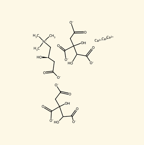 C[N+](C)(C)C[C@H](O)CC(=O)[O-].O=C([O-])CC(O)(C(=O)[O-])C(O)C(=O)[O-].O=C([O-])CC(O)(C(=O)[O-])C(O)C(=O)[O-].[Ca+2].[Ca+2].[Ca+2]